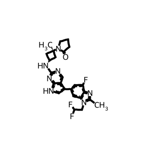 Cc1nc2c(F)cc(-c3c[nH]c4nc(N[C@H]5C[C@](C)(N6CCCC6=O)C5)ncc34)cc2n1CC(F)F